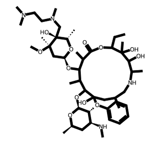 CCC1OC(=O)C(C)C(O[C@H]2C[C@@](C)(OC)[C@](O)(CN(C)CCN(C)C)[C@H](C)O2)C(C)C(O[C@@H]2O[C@H](C)C[C@H](NC)[C@H]2Oc2ccccc2)C(C)(O)CC(C)CNC(C)C(O)C1(C)O